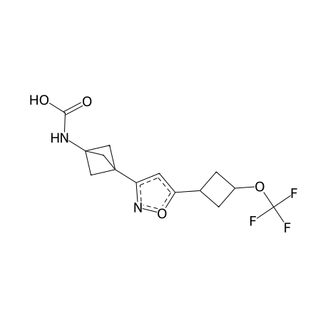 O=C(O)NC12CC(c3cc(C4CC(OC(F)(F)F)C4)on3)(C1)C2